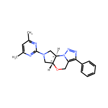 Cc1cc(C)nc(N2C[C@@H]3[C@@H](C2)OCc2c(-c4ccccc4)nnn23)n1